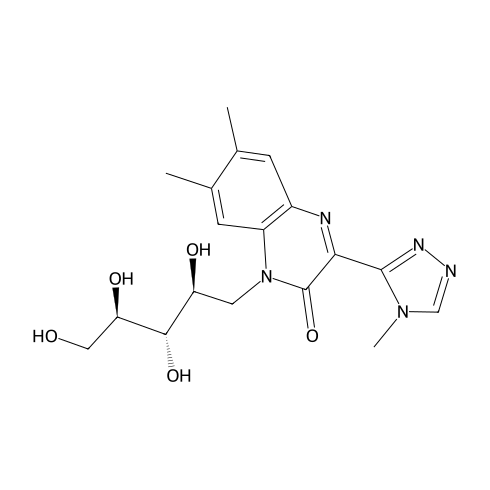 Cc1cc2nc(-c3nncn3C)c(=O)n(C[C@H](O)[C@H](O)[C@H](O)CO)c2cc1C